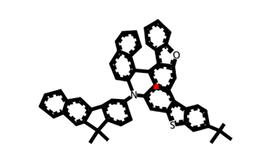 CC(C)(C)c1ccc2c(c1)sc1cc(N(c3ccc4c(c3)-c3cc5ccccc5cc3C4(C)C)c3ccc4ccccc4c3-c3cccc4oc5ccccc5c34)ccc12